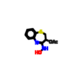 CC(=O)OC1CSc2ccccc2N=C1NO